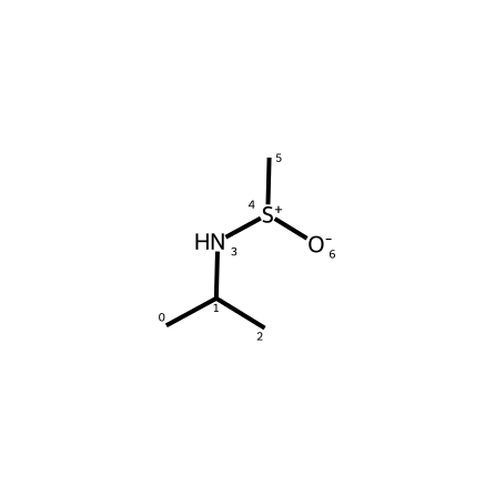 CC(C)N[S+](C)[O-]